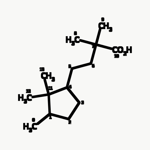 CC1CCC(CCC(C)(C)C(=O)O)C1(C)C